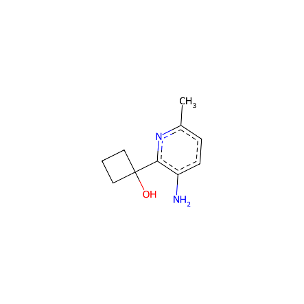 Cc1ccc(N)c(C2(O)CCC2)n1